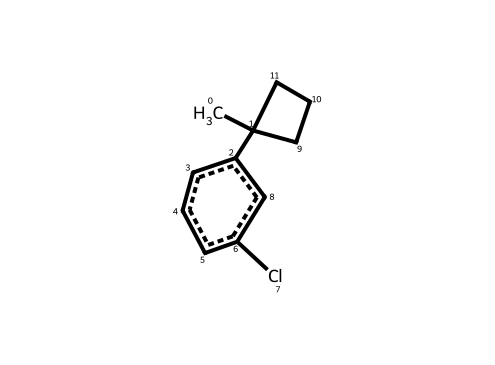 CC1(c2cccc(Cl)c2)CCC1